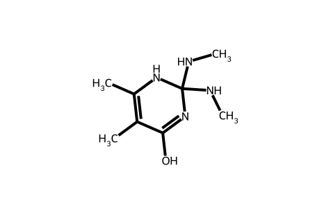 CNC1(NC)N=C(O)C(C)=C(C)N1